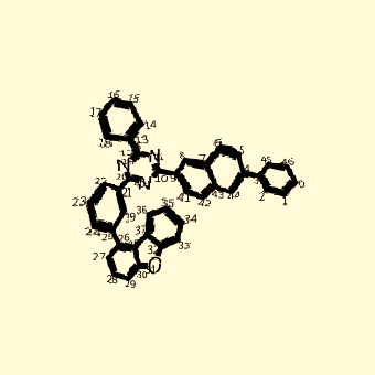 c1ccc(-c2ccc3cc(-c4nc(-c5ccccc5)nc(-c5cccc(-c6cccc7oc8ccccc8c67)c5)n4)ccc3c2)cc1